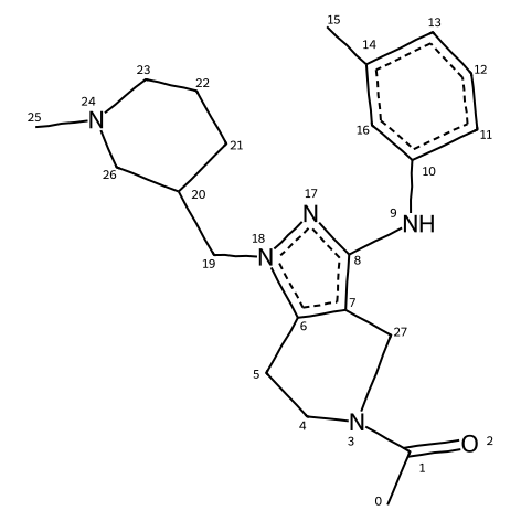 CC(=O)N1CCc2c(c(Nc3cccc(C)c3)nn2CC2CCCN(C)C2)C1